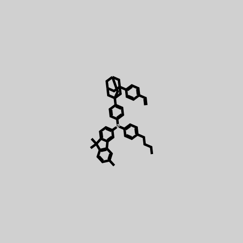 C=Cc1ccc(C23CC4CC(C2)CC(c2ccc(N(c5ccc(CCCC)cc5)c5ccc6c(c5)-c5cc(C)ccc5C6(C)C)cc2)(C4)C3)cc1